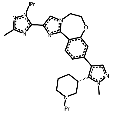 Cc1nc(-c2cn3c(n2)-c2ccc(-c4cnn(C)c4[C@H]4CCCN(C(C)C)C4)cc2OCC3)n(C(C)C)n1